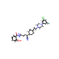 N#CC(CCCNC(=O)c1ccccc1O)C1CCC(CCN2CCN(c3cc(F)cc(Cl)c3)CC2)CC1